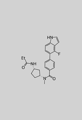 CCC(=O)N[C@H]1CC[C@@H](N(C)C(=O)c2ccc(-c3ccc4[nH]ccc4c3F)cc2)C1